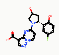 O=C(O)c1cnn2ccc(N3CC(O)C[C@@H]3c3cc(F)ccc3O)nc12